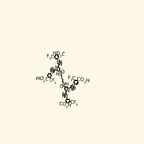 O=C(NCCCCNC(=O)c1cc(-c2cn(-c3ccc(C(=O)O)c(C(F)(F)F)c3)nn2)nc(-c2cn(-c3ccc(C(=O)O)c(C(F)(F)F)c3)nn2)c1)c1cc(-c2cn(-c3ccc(C(=O)O)c(C(F)(F)F)c3)nn2)nc(-c2cn(-c3ccc(C(=O)O)c(C(F)(F)F)c3)nn2)c1